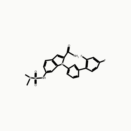 CN(C)S(=O)(=O)Nc1ccc2cc(C(N)=O)n(-c3cccc(-c4ccc(F)cc4F)c3)c2c1